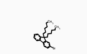 CCCCCCC1(CCCCCC)c2c[c]ccc2-c2ccc(Br)cc21